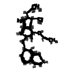 CCOc1nc(Sc2ccc3ccncc3c2)nc2[nH]c(CC)c(Cl)c12